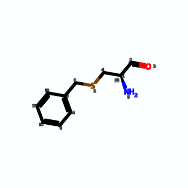 N[C@H]([C]=O)CSCc1ccccc1